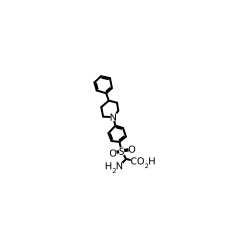 NC(C(=O)O)S(=O)(=O)c1ccc(N2CCC(c3ccccc3)CC2)cc1